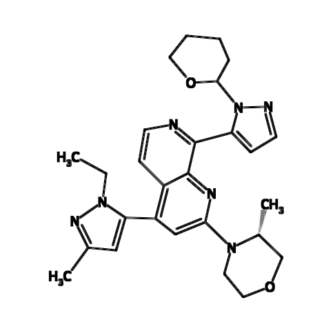 CCn1nc(C)cc1-c1cc(N2CCOC[C@H]2C)nc2c(-c3ccnn3C3CCCCO3)nccc12